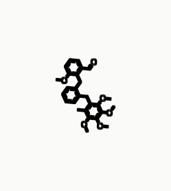 COc1cccc(C=O)c1Cc1ccccc1Cc1c(C)c(OC)c(OC)c(OC)c1OC